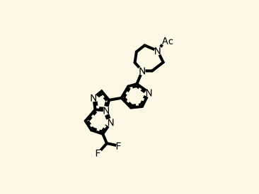 CC(=O)N1CCCN(c2cc(-c3cnc4ccc(C(F)F)nn34)ccn2)CC1